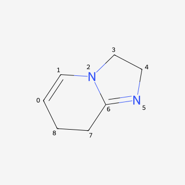 C1=CN2CCN=C2CC1